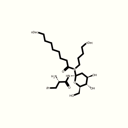 CCCCCCCCCCCCCCCCCC(=O)N(CCCCCCCCCCCCCC)[C@@]1(NC(=O)[C@@H](N)CC(C)C)C[C@@H](O)[C@H](O)[C@@H](CO)O1